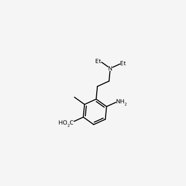 CCN(CC)CCc1c(N)ccc(C(=O)O)c1C